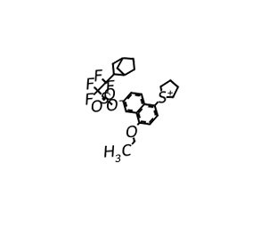 CCOc1ccc([S+]2CCCC2)c2ccccc12.O=S(=O)([O-])C(F)(F)C(F)(F)C1CC2CCC1C2